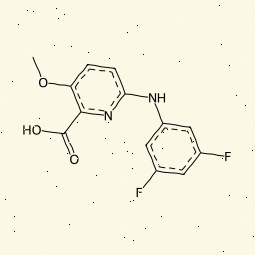 COc1ccc(Nc2cc(F)cc(F)c2)nc1C(=O)O